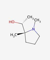 C[C@@H](O)[C@@]1(C)CCCN1C